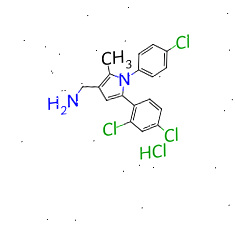 Cc1c(CN)cc(-c2ccc(Cl)cc2Cl)n1-c1ccc(Cl)cc1.Cl